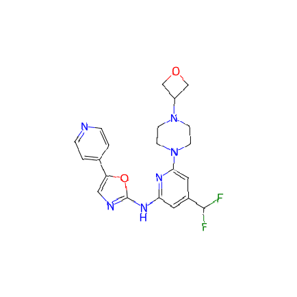 FC(F)c1cc(Nc2ncc(-c3ccncc3)o2)nc(N2CCN(C3COC3)CC2)c1